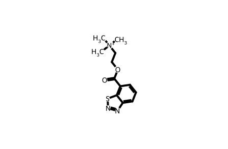 C[N+](C)(C)CCOC(=O)c1cccc2nnsc12